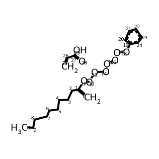 C=C(CCCCCCCCC)OOOOOOOOc1ccccc1.C=CC(=O)O